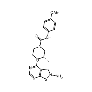 COc1ccc(NC(=O)N2CCN(c3ncnc4c3CN(N)S4)[C@@H](C)C2)cc1